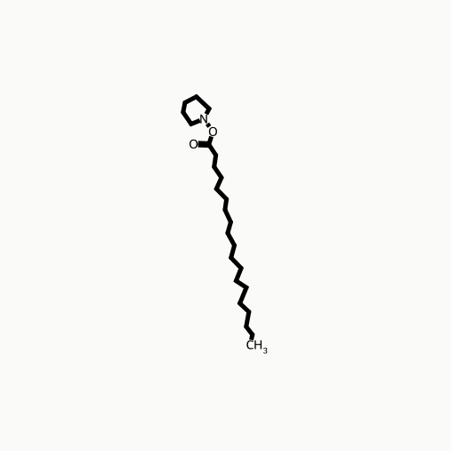 CCCCCCCCCCCCCCCCCCC(=O)ON1CCCCC1